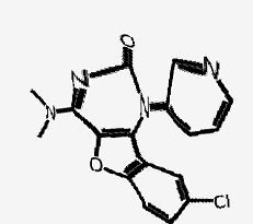 CN(C)c1nc(=O)n(-c2cccnc2)c2c1oc1ccc(Cl)cc12